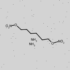 N.N.O=[N+]([O-])OCCCCCCO[N+](=O)[O-]